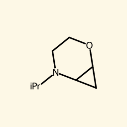 CC(C)N1CCOC2CC21